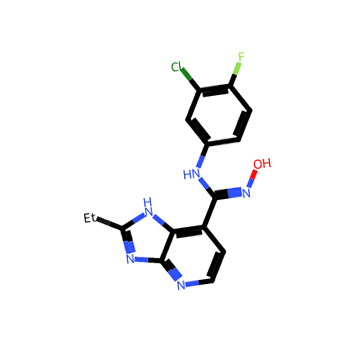 CCc1nc2nccc(/C(=N/O)Nc3ccc(F)c(Cl)c3)c2[nH]1